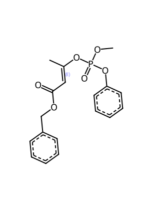 COP(=O)(O/C(C)=C/C(=O)OCc1ccccc1)Oc1ccccc1